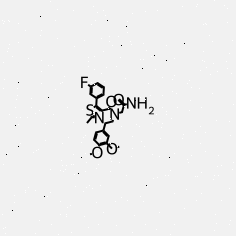 COc1ccc(CCN(CC(N)=O)C(=O)c2nc(C)sc2-c2cccc(F)c2)cc1OC